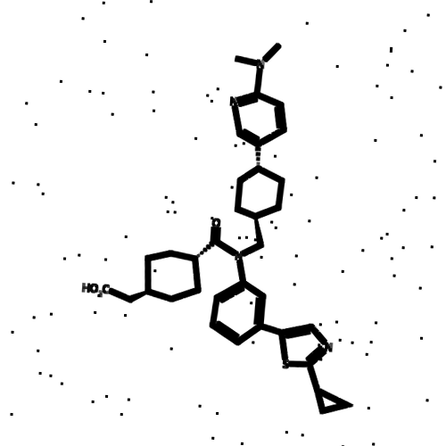 CN(C)c1ccc([C@H]2CC[C@H](CN(c3cccc(-c4cnc(C5CC5)s4)c3)C(=O)[C@H]3CC[C@H](CC(=O)O)CC3)CC2)cn1